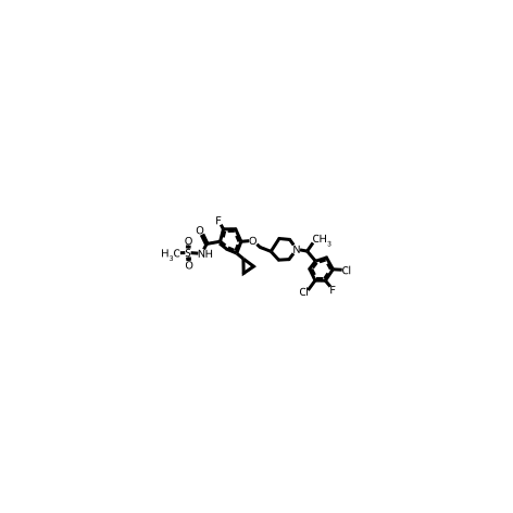 CC(c1cc(Cl)c(F)c(Cl)c1)N1CCC(COc2cc(F)c(C(=O)NS(C)(=O)=O)cc2C2CC2)CC1